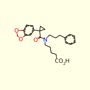 O=C(O)CCCCN(CCCc1ccccc1)C(=O)C1(c2ccc3c(c2)OCO3)CC1